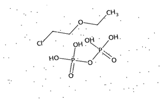 CCOCCCl.O=P(O)(O)OP(=O)(O)O